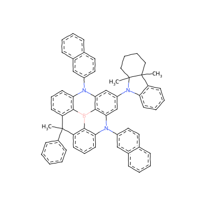 CC1(c2ccccc2)c2cccc3c2B2c4c(cc(N5c6ccccc6C6(C)CCCCC56C)cc4N(c4ccc5ccccc5c4)c4cccc1c42)N3c1ccc2ccccc2c1